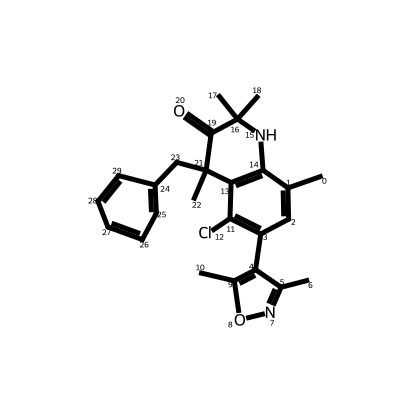 Cc1cc(-c2c(C)noc2C)c(Cl)c2c1NC(C)(C)C(=O)C2(C)Cc1ccccc1